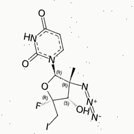 C[C@]1(N=[N+]=[N-])[C@H](n2ccc(=O)[nH]c2=O)O[C@](F)(CI)[C@H]1O